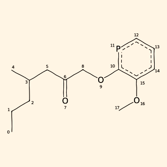 CCCC(C)CC(=O)COc1pcccc1OC